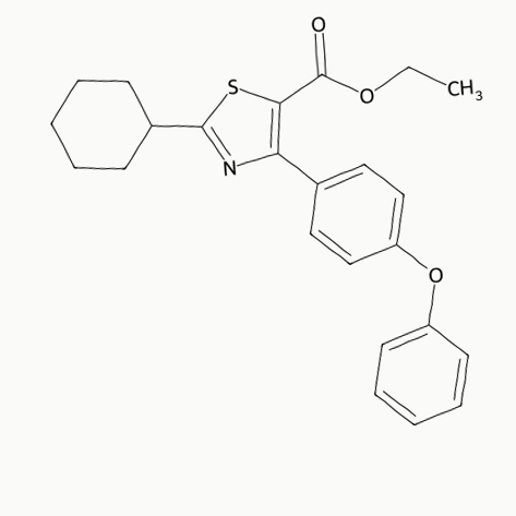 CCOC(=O)c1sc(C2CCCCC2)nc1-c1ccc(Oc2ccccc2)cc1